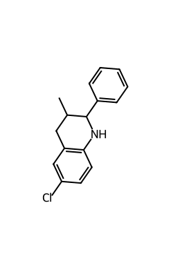 CC1Cc2cc(Cl)ccc2NC1c1ccccc1